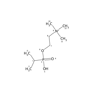 CC(C)P(=O)(O)OCC[N+](C)(C)C